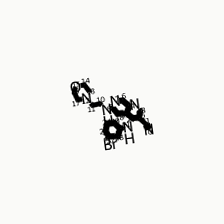 N#Cc1cnc2cnc(NCCN3CCOCC3)cc2c1Nc1cccc(Br)c1